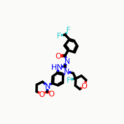 O=C(/N=c1\[nH]c2cc(N3CCCOC3=O)ccc2n1CC1(F)CCOCC1)c1cccc(C(F)F)c1